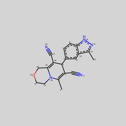 CC1=C(C#N)C(c2ccc3[nH]nc(C)c3c2)C(C#N)=C2COCCN12